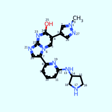 Cn1cc(-c2cn3c(-c4cccc(NC5CCNC5)n4)cnc3nc2O)cn1